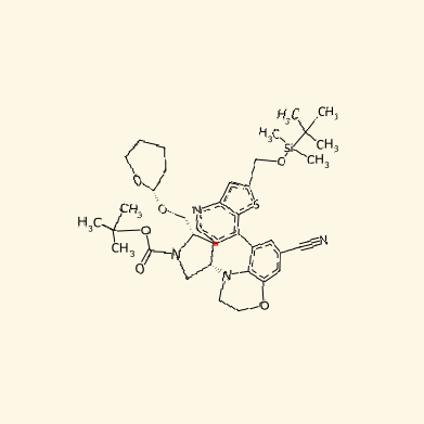 CC(C)(C)OC(=O)N1C[C@@H](N2CCOc3cc(C#N)cc(-c4ccnc5cc(CO[Si](C)(C)C(C)(C)C)sc45)c32)C[C@H]1CO[C@H]1CCCCO1